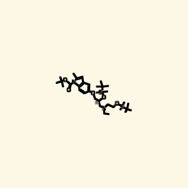 CCN(CCO[Si](C)(C)C(C)(C)C)C[C@@H](COc1ccc2c(c1)cc(C)n2C(=O)OC(C)(C)C)O[Si](C)(C)C(C)(C)C